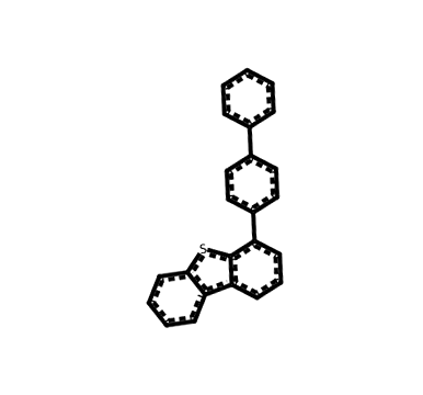 c1ccc(-c2ccc(-c3cccc4c3sc3ccccc34)cc2)cc1